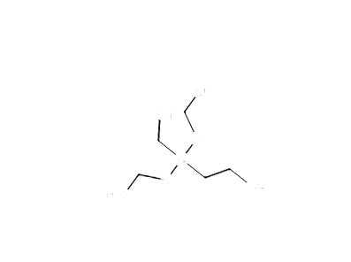 CCO[Si](CC)(CCO)OCC